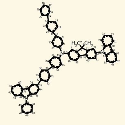 CC1(C)c2cc(N(c3ccc(-c4ccc(-c5ccccc5)cc4)cc3)c3ccc(-c4ccc(-c5ccc6c(c5)c5ccccc5n6-c5ccccc5)cc4)cc3)ccc2-c2ccc(-n3c4ccccc4c4ccccc43)cc21